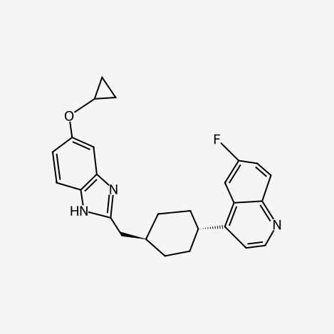 Fc1ccc2nccc([C@H]3CC[C@H](Cc4nc5cc(OC6CC6)ccc5[nH]4)CC3)c2c1